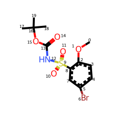 COc1ccc(Br)cc1S(=O)(=O)NC(=O)OC(C)(C)C